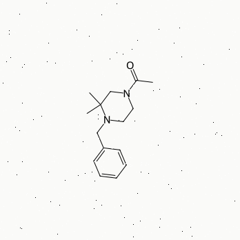 CC(=O)N1CCN(Cc2ccccc2)C(C)(C)C1